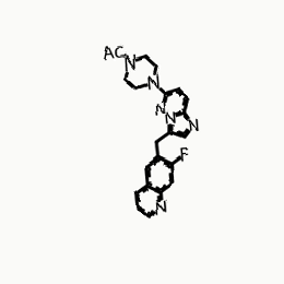 CC(=O)N1CCN(c2ccc3ncc(Cc4cc5cccnc5cc4F)n3n2)CC1